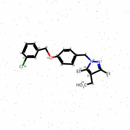 CCc1nn(Cc2ccc(OCc3cccc(Cl)c3)cc2)c(CC)c1CC(=O)O